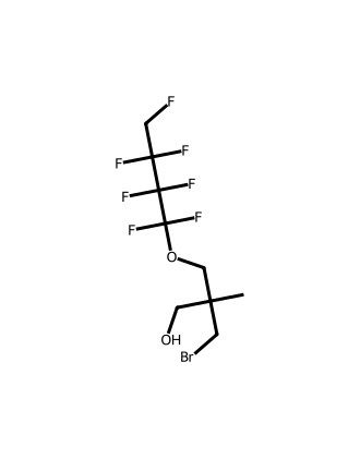 CC(CO)(CBr)COC(F)(F)C(F)(F)C(F)(F)CF